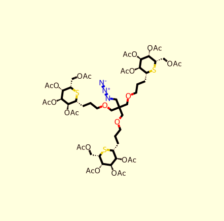 CC(=O)OC[C@@H]1S[C@H](CCCOCC(CN=[N+]=[N-])(COCCC[C@H]2S[C@@H](COC(C)=O)[C@@H](OC(C)=O)[C@H](OC(C)=O)[C@@H]2OC(C)=O)COCCC[C@H]2S[C@@H](COC(C)=O)[C@@H](OC(C)=O)[C@H](OC(C)=O)[C@@H]2OC(C)=O)[C@@H](OC(C)=O)[C@@H](OC(C)=O)[C@@H]1OC(C)=O